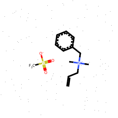 C=CC[N+](C)(C)Cc1ccccc1.O=S(=O)([O-])C(F)(F)F